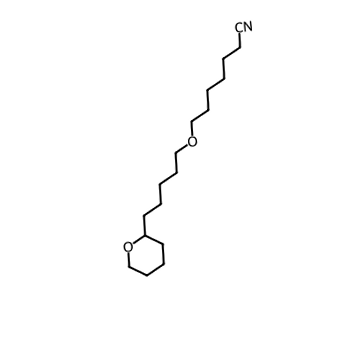 N#CCCCCCCOCCCCCC1CCCCO1